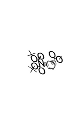 COC(=O)[C@@H]1CC=C[C@@H](N(C(=O)OC(C)(C)C)C(=O)OC(C)(C)C)C1